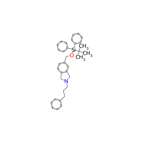 CC(C)(C)[Si](OCc1ccc2c(c1)CN(CCCc1ccccc1)C2)(c1ccccc1)c1ccccc1